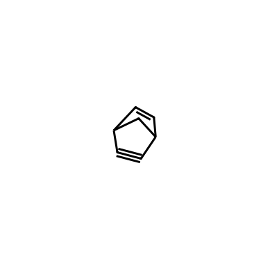 C1#CC2C=CC1C2